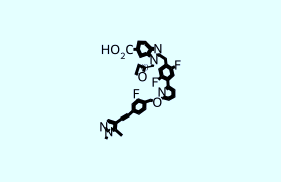 Cc1c(C#Cc2ccc(COc3cccc(-c4cc(F)c(Cc5nc6ccc(C(=O)O)cc6n5C[C@@H]5CCO5)cc4F)n3)c(F)c2)cnn1C